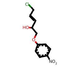 O=[N+]([O-])c1ccc(OCC(O)C=CCCl)cc1